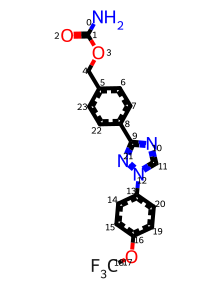 NC(=O)OCc1ccc(-c2ncn(-c3ccc(OC(F)(F)F)cc3)n2)cc1